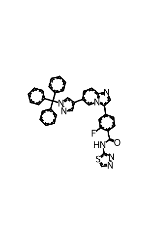 O=C(Nc1nncs1)c1ccc(-c2cnc3ccc(-c4cnn(C(c5ccccc5)(c5ccccc5)c5ccccc5)c4)cn23)cc1F